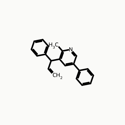 C=CC(c1ccccc1)c1cc(-c2ccccc2)cnc1C